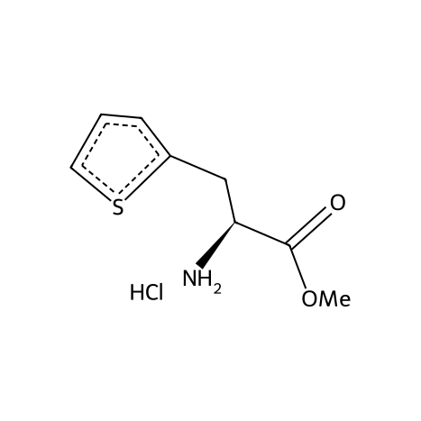 COC(=O)[C@@H](N)Cc1cccs1.Cl